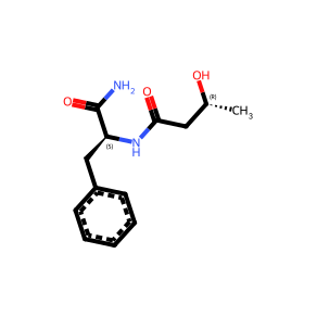 C[C@@H](O)CC(=O)N[C@@H](Cc1ccccc1)C(N)=O